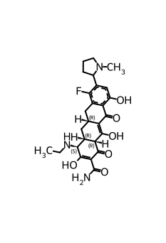 CCN[C@@H]1C(O)=C(C(N)=O)C(=O)[C@H]2C(O)=C3C(=O)c4c(O)cc(C5CCCN5C)c(F)c4C[C@H]3C[C@H]21